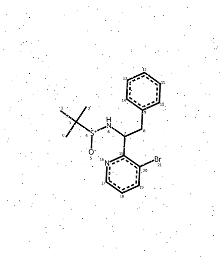 CC(C)(C)[S+]([O-])NC(Cc1ccccc1)c1ncccc1Br